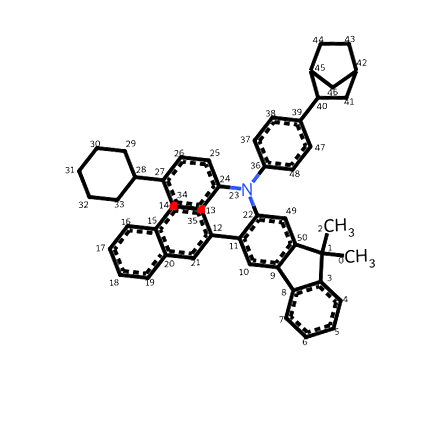 CC1(C)c2ccccc2-c2cc(-c3ccc4ccccc4c3)c(N(c3ccc(C4CCCCC4)cc3)c3ccc(C4CC5CCC4C5)cc3)cc21